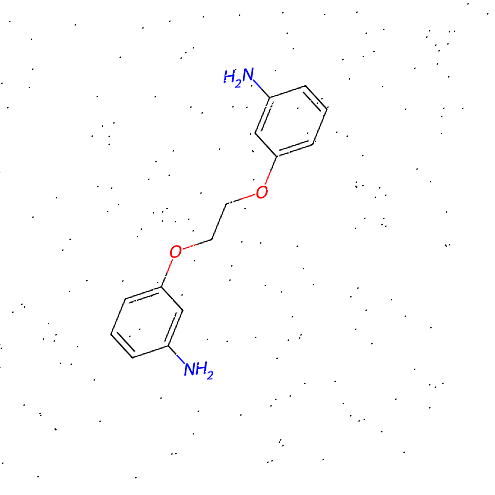 Nc1cccc(OCCOc2cccc(N)c2)c1